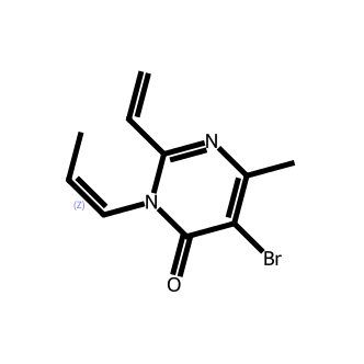 C=Cc1nc(C)c(Br)c(=O)n1/C=C\C